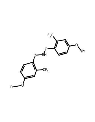 CC(C)Oc1ccc(OBOc2ccc(OC(C)C)cc2C(F)(F)F)c(C(F)(F)F)c1